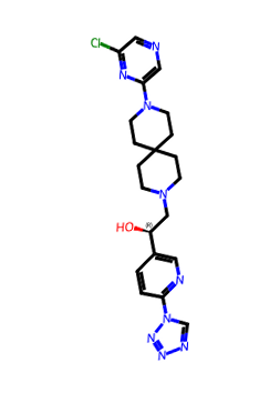 O[C@@H](CN1CCC2(CC1)CCN(c1cncc(Cl)n1)CC2)c1ccc(-n2cnnn2)nc1